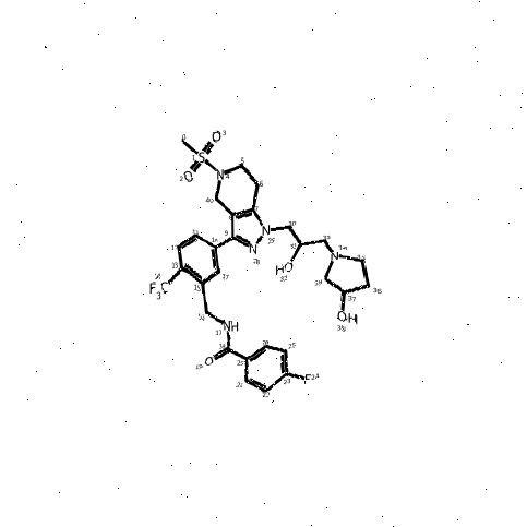 CS(=O)(=O)N1CCc2c(c(-c3ccc(C(F)(F)F)c(CNC(=O)c4ccc(F)cc4)c3)nn2CC(O)CN2CCC(O)C2)C1